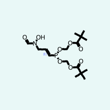 CC(C)(C)C(=O)OCOP(/C=C/CN(O)C=O)OCOC(=O)C(C)(C)C